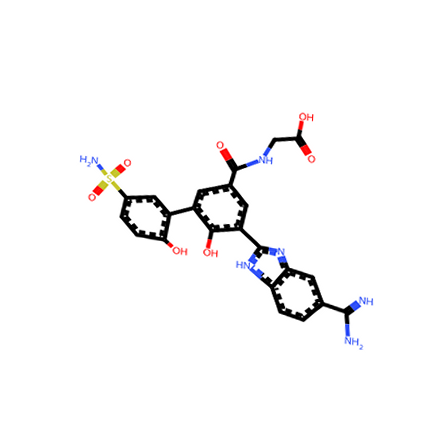 N=C(N)c1ccc2[nH]c(-c3cc(C(=O)NCC(=O)O)cc(-c4cc(S(N)(=O)=O)ccc4O)c3O)nc2c1